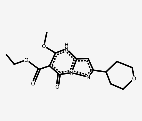 CCOC(=O)c1c(OC)[nH]c2cc(C3CCOCC3)nn2c1=O